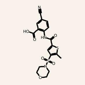 Cc1sc(C(=O)Nc2ccc(C#N)cc2C(=O)O)cc1S(=O)(=O)N1CCOCC1